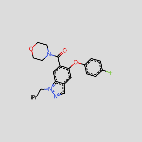 CC(C)Cn1ncc2cc(Oc3ccc(F)cc3)c(C(=O)N3CCOCC3)cc21